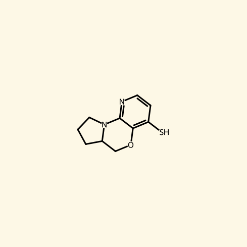 Sc1ccnc2c1OCC1CCCN21